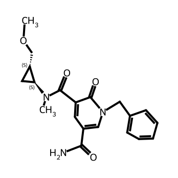 COC[C@H]1C[C@@H]1N(C)C(=O)c1cc(C(N)=O)cn(Cc2ccccc2)c1=O